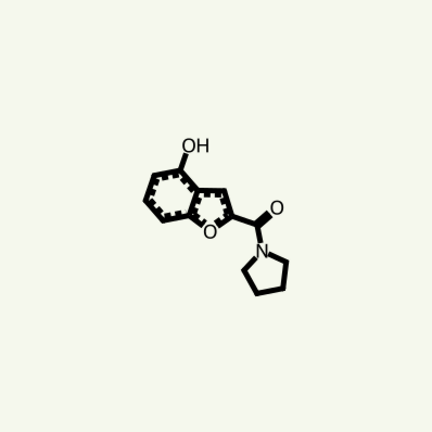 O=C(c1cc2c(O)cccc2o1)N1CCCC1